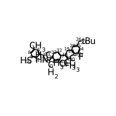 C=C(NCc1cc(C)cc(S)c1)C1(C)C=C(C)C(C(Cc2cc(F)cc(CC(C)(C)C)c2)=C(C)C)=CC1